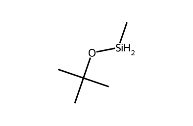 C[SiH2]OC(C)(C)C